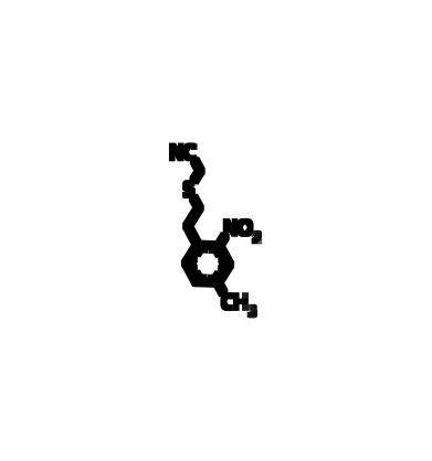 Cc1ccc(CCSCC#N)c([N+](=O)[O-])c1